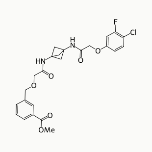 COC(=O)c1cccc(COCC(=O)NC23CC(NC(=O)COc4ccc(Cl)c(F)c4)(C2)C3)c1